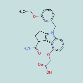 CCOc1cccc(Cn2c3c(c4c(OCC(=O)O)cccc42)C(C(N)=O)CC3)c1